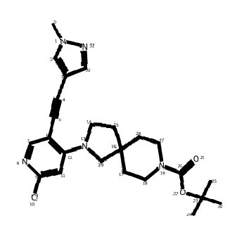 Cn1cc(C#Cc2cnc(Cl)cc2N2CCC3(CCN(C(=O)OC(C)(C)C)CC3)C2)cn1